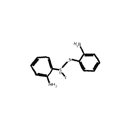 Nc1ccccc1S[SH](F)c1ccccc1N